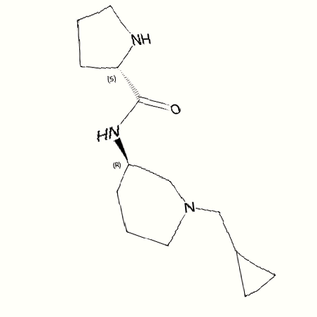 O=C(N[C@@H]1CCCN(CC2CC2)C1)[C@@H]1CCCN1